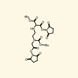 CC(C)(C)OC(=O)C(NCCN(CC(=O)ON1C(=O)CCC1=O)C(=O)OC(C)(C)C)C(=O)ON1C(=O)CCC1=O